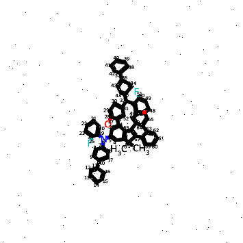 CC1(C)c2cc(N(c3ccc(-c4ccccc4)cc3)c3ccccc3F)c3oc4ccc(C(c5ccc(-c6ccccc6)cc5)c5ccccc5F)cc4c3c2-c2c1c1ccccc1c1ccccc21